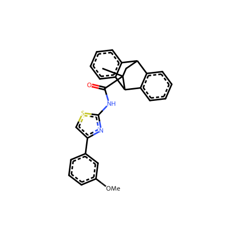 COc1cccc(-c2csc(NC(=O)C3(C)CC4c5ccccc5C3c3ccccc34)n2)c1